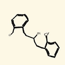 OC(Cc1ccccc1Cl)Cc1ccccc1Cl